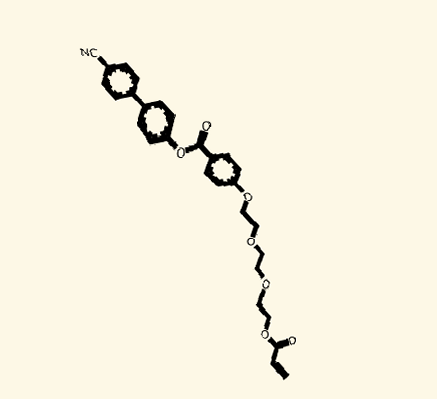 C=CC(=O)OCCOCCOCCOc1ccc(C(=O)Oc2ccc(-c3ccc(C#N)cc3)cc2)cc1